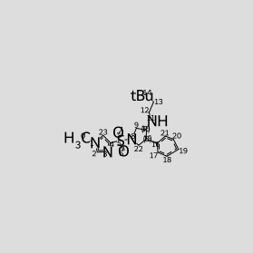 Cn1cnc(S(=O)(=O)N2C[C@H](NCCC(C)(C)C)[C@@H](c3ccccc3)C2)c1